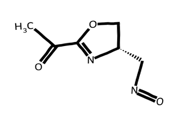 CC(=O)C1=N[C@@H](CN=O)CO1